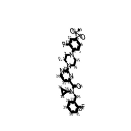 C[C@@H]1CN(c2ccc(S(C)(=O)=O)cc2F)CCN1c1nccc(C(=O)N(Cc2ccccc2F)C2CC2)n1